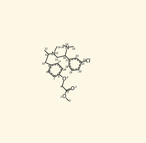 COC(=O)COc1ccc(CC(C)N(C)CC(c2cccc(Cl)c2)N(C)C)cc1